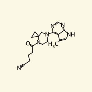 Cc1c[nH]c2ncnc(N3CCN(C(=O)CCCC#N)C4(CC4)C3)c12